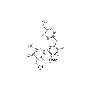 CCOc1ccc(Cc2cc([C@H]3C[C@@H](O)C(=O)[C@@H](CO)O3)c(OC)cc2C)cc1